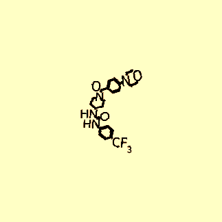 O=C(Nc1ccc(C(F)(F)F)cc1)NC1CCN(C(=O)c2ccc(N3CCOCC3)cc2)CC1